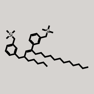 CCCCCCCCCCCCC(=CC(CCCCC)Cc1cccc(C[Si](C)(C)C)c1)c1cccc(C[Si](C)(C)C)c1